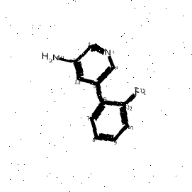 Nc1cncc(-c2ccccc2F)c1